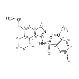 COCc1cc2onc(NS(=O)(=O)c3cc(F)ccc3OC)c2c2c1CCCO2